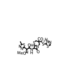 CON=C(C(=O)NC1C(=O)N2CC(CSc3nncs3)(C(=O)O)CS[C@H]12)c1nnc(C)s1